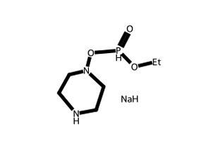 CCO[PH](=O)ON1CCNCC1.[NaH]